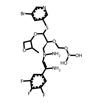 CC1OCC1OC(Sc1cncc(Br)c1)[C@H](CN(N)/C=C(\N)c1cc(F)c(F)c(F)c1)OCOP(O)O